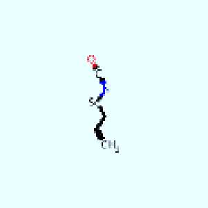 C=CC[Se]N=C=O